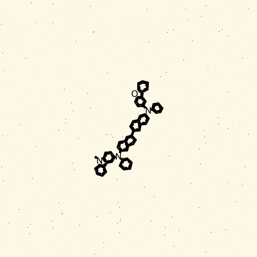 Cn1c2ccccc2c2cc(N(c3ccccc3)c3ccc4cc(-c5ccc6cc(N(c7ccccc7)c7ccc8oc9ccccc9c8c7)ccc6c5)ccc4c3)ccc21